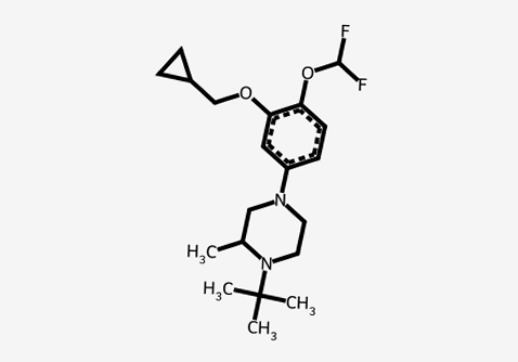 CC1CN(c2ccc(OC(F)F)c(OCC3CC3)c2)CCN1C(C)(C)C